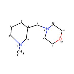 CN1CCCC(CN2CCOCC2)C1